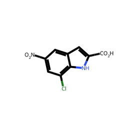 O=C(O)c1cc2cc([N+](=O)[O-])cc(Cl)c2[nH]1